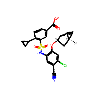 N#Cc1cc(NS(=O)(=O)c2cc(C(=O)O)ccc2C2CC2)c(O[C@H]2CC3=C[C@H]3C2)cc1Cl